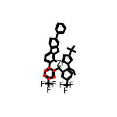 CCCC1C=C(C(C)(C)C)C=[C]1[Zr](=[C](c1cccc(C(F)(F)F)c1)c1cccc(C(F)(F)F)c1)[c]1c(-c2ccccc2)ccc2c1Cc1cc(-c3ccccc3)ccc1-2